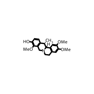 COc1cc2c(cc1OC)[C@H]1[C@@H](C)c3ccc(O)c(OC)c3CN1CC2